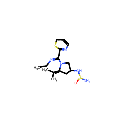 CC/N=C(/C1=NC=CCS1)N1CC(N[S+](N)[O-])CC1=C(C)C